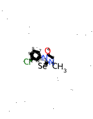 CN1CC(=O)N(c2cccc(Cl)c2)C1=[Se]